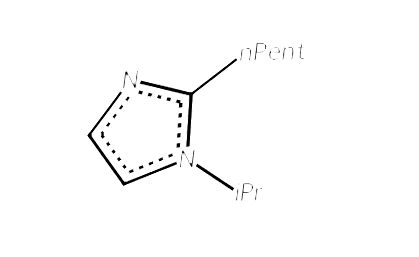 CCCCCc1nccn1C(C)C